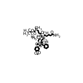 CC(C)CN(C(O)(CCN(NC(=O)CCN(C)C(=O)OC(C)(C)C)C(C)CCCC(N)=O)Cc1ccccc1)S(=O)(=O)c1ccc2c(c1)OCO2